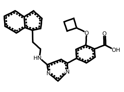 O=C(O)c1ccc(-c2cc(NCCc3cccc4ccccc34)ncn2)cc1OC1CCC1